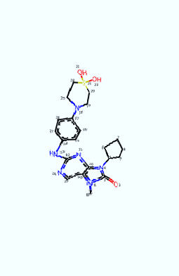 Cn1c(=O)n(C2CCCC2)c2nc(Nc3ccc(N4CCS(O)(O)CC4)cc3)ncc21